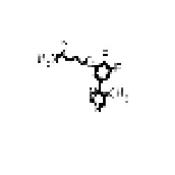 Cc1cncnc1-c1cc(F)c(F)c(OCCCC(N)=O)c1